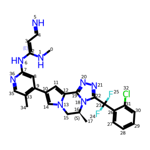 CN/C(=C\C=N)Nc1cc(-c2cc3n(c2)C[C@H](C)n2c-3nnc2C(F)(F)c2ccccc2Cl)c(C)cn1